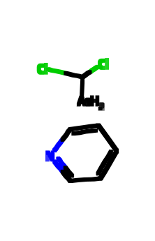 ClC(Cl)[AsH2].c1ccncc1